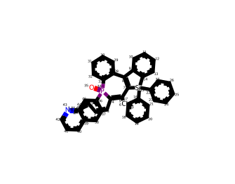 C=C/C=C\C1=C(C)C2=C(c3ccccc3[Si]2(c2ccccc2)c2ccccc2)c2ccccc2P1(=O)c1ccc2cccnc2c1